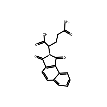 NC(=O)CCC(C(=O)O)N1C(=O)c2ccc3ccccc3c2C1=O